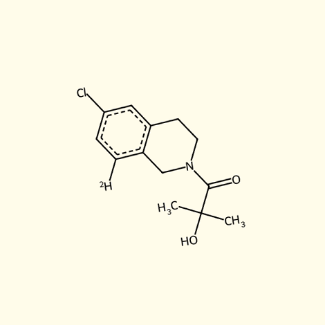 [2H]c1cc(Cl)cc2c1CN(C(=O)C(C)(C)O)CC2